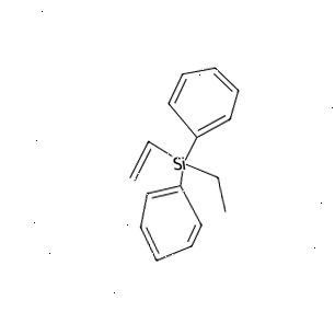 C=C[Si](CC)(c1ccccc1)c1ccccc1